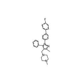 Cc1nn(-c2ccc(-c3ccc(F)cc3)cc2)c(-c2ccccc2)c1CN1CCN(C)CC1